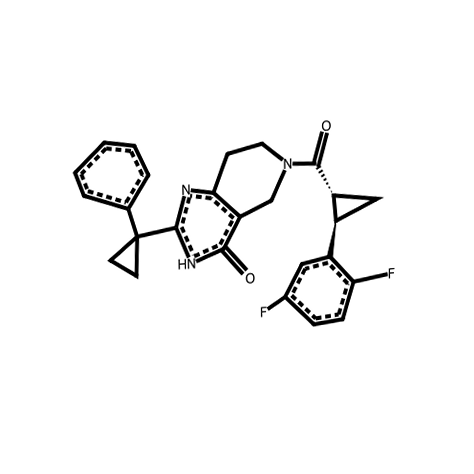 O=C([C@@H]1C[C@H]1c1cc(F)ccc1F)N1CCc2nc(C3(c4ccccc4)CC3)[nH]c(=O)c2C1